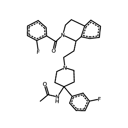 CC(=O)NC1(c2cccc(F)c2)CCN(CCC2c3ccccc3CCN2C(=O)c2ccccc2F)CC1